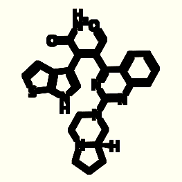 NC(=O)/C(=C(\C=O)c1nc(N2CCN3CCC[C@@H]3C2)nc2ccccc12)c1c[nH]c2sccc12